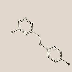 Fc1ccc(OCc2c[c]cc(F)c2)cc1